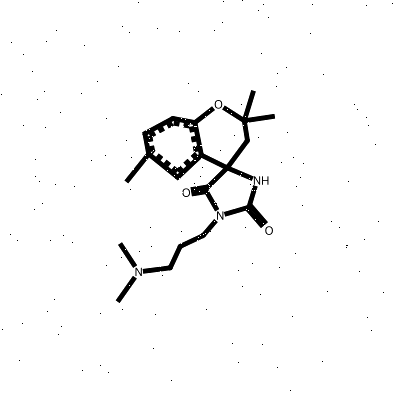 Cc1ccc2c(c1)C1(CC(C)(C)O2)NC(=O)N(CCCN(C)C)C1=O